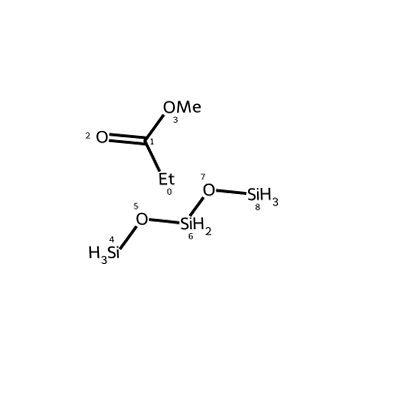 CCC(=O)OC.[SiH3]O[SiH2]O[SiH3]